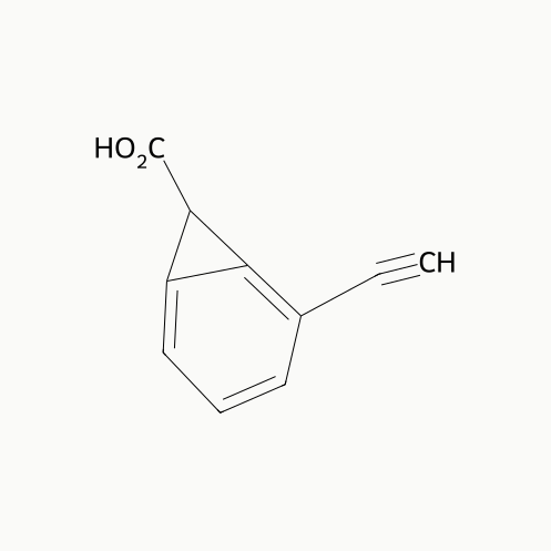 C#Cc1cccc2c1C2C(=O)O